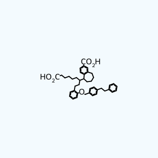 O=C(O)CCCCCC(CCc1ccccc1OCc1ccc(CCc2ccccc2)cc1)C1CCCCc2cc(C(=O)O)ccc21